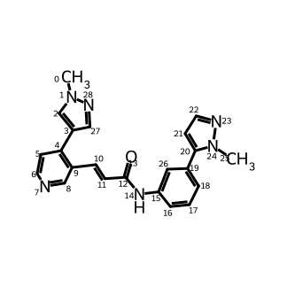 Cn1cc(-c2ccncc2C=CC(=O)Nc2cccc(-c3ccnn3C)c2)cn1